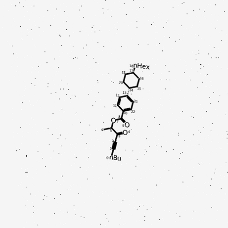 CCCCC#CC(=O)C(C)OC(=O)c1ccc([C@H]2CC[C@H](CCCCCC)CC2)cc1